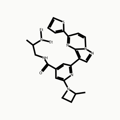 CCN(CC)C(C)CNC(=O)c1cc(-c2cnn3ccc(-c4cccs4)nc23)nc(N2CCC2C)c1